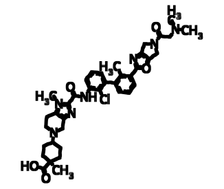 Cc1c(-c2nc3c(o2)CN(C(=O)CN(C)C)C3)cccc1-c1cccc(NC(=O)c2nc3c(n2C)CCN(C2CCC(C)(C(=O)O)CC2)C3)c1Cl